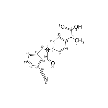 CC(C(=O)O)c1ccc(N2Cc3cccc(C#N)c3C2=O)cc1